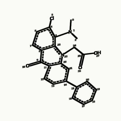 CN(C)c1c(Cl)ccc2c(=O)c3ccc(-c4ccccc4)cc3n(CC(=O)O)c12